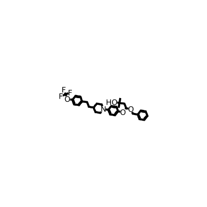 CC(C)(O)CC(OCc1ccccc1)Oc1ccc(N2CCC(CCc3ccc(OC(F)(F)F)cc3)CC2)cc1